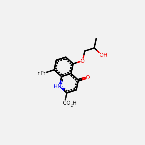 CCCc1ccc(OCC(C)O)c2c(=O)cc(C(=O)O)[nH]c12